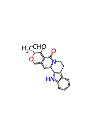 CC1OC=c2cc3n(c(=O)c2=C1C=O)CCc1c-3[nH]c2ccccc12